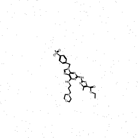 CCOC(=O)c1sc(Nc2nc(NCCCN3CCOCC3)c3ncn(Cc4ccc(S(C)(=O)=O)cc4)c3n2)nc1C